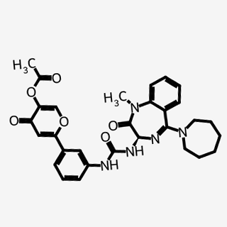 CC(=O)Oc1coc(-c2cccc(NC(=O)N[C@@H]3N=C(N4CCCCCC4)c4ccccc4N(C)C3=O)c2)cc1=O